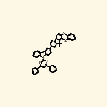 CC1(C)c2cc(-c3ccc4c(c3)c3ccccc3n4-c3nc(-c4ccccc4)cc(-c4ccccc4)n3)ccc2-c2ccc3c(c21)Sc1ccccc1S3